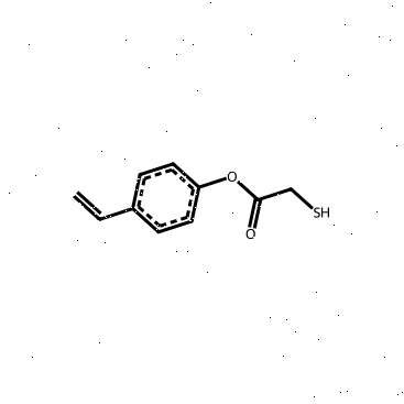 C=Cc1ccc(OC(=O)CS)cc1